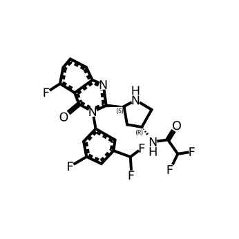 O=C(N[C@H]1CN[C@H](c2nc3cccc(F)c3c(=O)n2-c2cc(F)cc(C(F)F)c2)C1)C(F)F